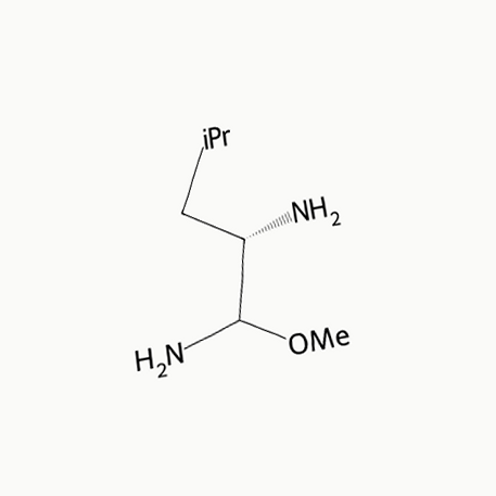 COC(N)[C@@H](N)CC(C)C